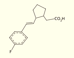 O=C(O)CC1CCCC1C=Cc1ccc(F)cc1